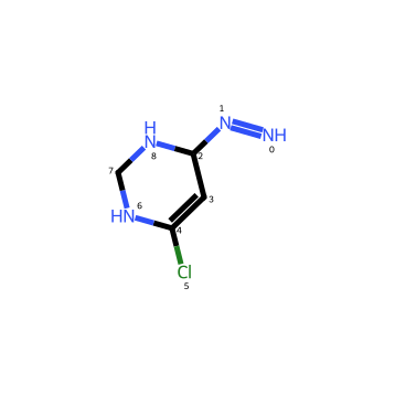 N=NC1C=C(Cl)NCN1